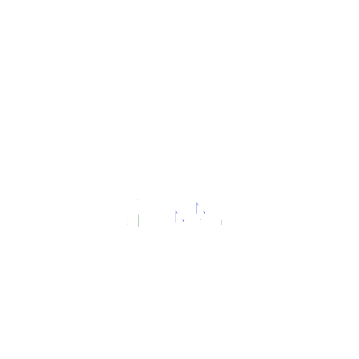 ClCc1nn(Cl)c2ccccc12